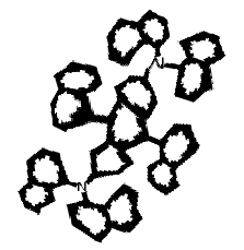 C1=c2c(-c3cccc4ccccc34)c3ccc(N(c4cccc5ccccc45)c4cccc5ccccc45)cc3c(-c3cccc4ccccc34)c2=CCC1N(c1cccc2ccccc12)c1cccc2ccccc12